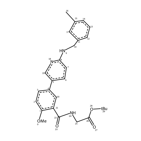 COc1ccc(-c2ccc(NCc3cccc(C)c3)nc2)cc1C(=O)NCC(=O)OC(C)(C)C